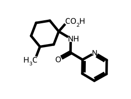 CC1CCCC(NC(=O)c2ccccn2)(C(=O)O)C1